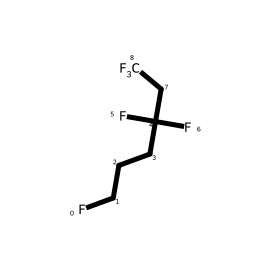 FCCCC(F)(F)CC(F)(F)F